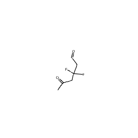 CC(=O)CC(F)(F)CC=O